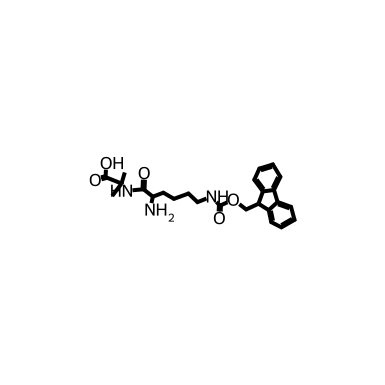 CC(C)(NC(=O)C(N)CCCCNC(=O)OCC1c2ccccc2-c2ccccc21)C(=O)O